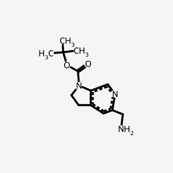 CC(C)(C)OC(=O)N1CCc2cc(CN)ncc21